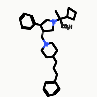 C[C@](C(=O)O)(C1CCC1)N1C[C@H](CN2CCC(CCCc3ccccc3)CC2)[C@@H](c2ccccc2)C1